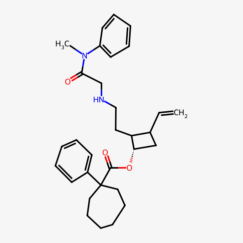 C=CC1C[C@H](OC(=O)C2(c3ccccc3)CCCCCC2)C1CCNCC(=O)N(C)c1ccccc1